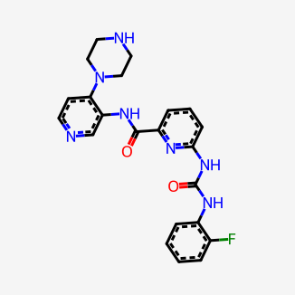 O=C(Nc1cccc(C(=O)Nc2cnccc2N2CCNCC2)n1)Nc1ccccc1F